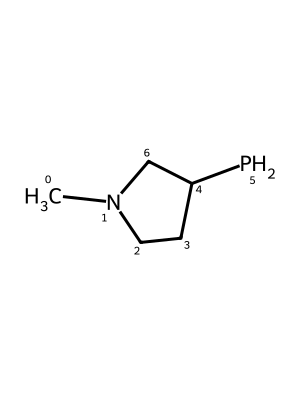 CN1CCC(P)C1